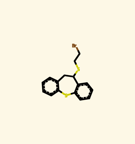 BrCCSC1Cc2ccccc2Sc2ccccc21